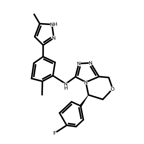 Cc1cc(-c2ccc(C)c(Nc3nnc4n3[C@H](c3ccc(F)cc3)COC4)c2)n[nH]1